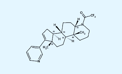 C[C@]12CCCN(C(=O)C(F)(F)F)[C@H]1CC[C@@H]1[C@@H]2CC[C@]2(C)C(c3cccnc3)=CC[C@@H]12